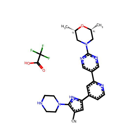 C[C@@H]1CN(c2ncc(-c3cc(-c4cc(C#N)c(N5CCNCC5)[nH]4)ccn3)cn2)C[C@H](C)O1.O=C(O)C(F)(F)F